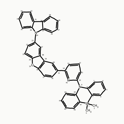 C[Si]1(C)c2ccccc2N(c2cccc(-c3ccc4oc5ccc(-n6c7ccccc7c7ccccc76)cc5c4c3)n2)c2ccccc21